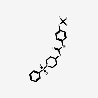 O=C(Nc1ccc(OC(F)(F)F)cc1)OC1CCN(S(=O)(=O)c2ccccc2)CC1